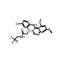 C=Nc1cc(OC)c2c(Nc3ccc(Cl)cc3O[C@H](C)C(=O)NCC(F)(F)F)ncnc2c1